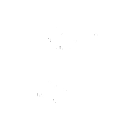 O=C(Nc1nccs1)C(CC1CCOCC1)c1ccc(S(=O)(=O)c2ncc[nH]2)cc1